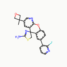 CC1(c2cnc3c(c2)C2(CSC(N)=N2)c2cc(-c4cccnc4F)ccc2O3)COC1